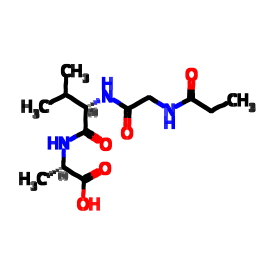 CCC(=O)NCC(=O)N[C@H](C(=O)N[C@@H](C)C(=O)O)C(C)C